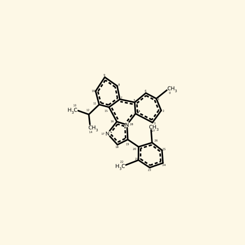 Cc1ccc2c(c1)c1cccc(C(C)C)c1c1ncc(-c3c(C)cccc3C)n21